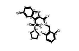 O=C(NCc1c(F)cccc1Cl)c1[nH]c2ccc(Br)cc2c1S(=O)(=O)N1CCCC1